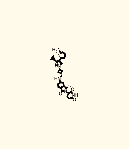 Nc1cccc(-c2cn([C@H]3C[C@H](CNc4ccc5c(c4)C(=O)N(C4CCC(=O)NC4=O)C5=O)C3)nc2C2CC2)n1